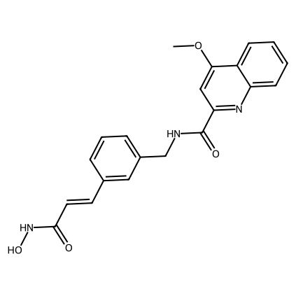 COc1cc(C(=O)NCc2cccc(/C=C/C(=O)NO)c2)nc2ccccc12